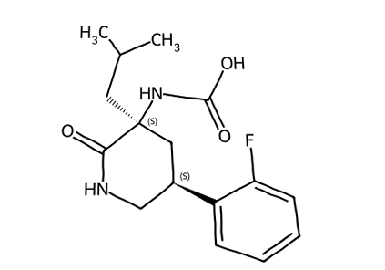 CC(C)C[C@]1(NC(=O)O)C[C@@H](c2ccccc2F)CNC1=O